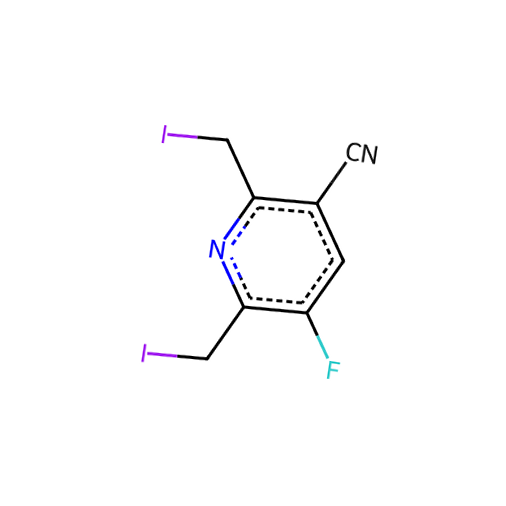 N#Cc1cc(F)c(CI)nc1CI